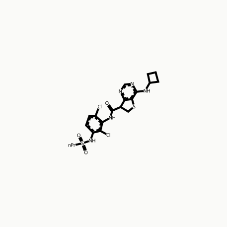 CCCS(=O)(=O)Nc1ccc(Cl)c(NC(=O)C2CSc3c(NC4CCC4)ncnc32)c1Cl